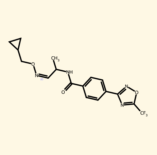 CC(/C=N\OCC1CC1)NC(=O)c1ccc(-c2noc(C(F)(F)F)n2)cc1